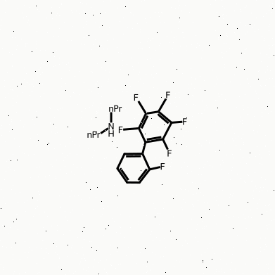 CCCNCCC.Fc1ccccc1-c1c(F)c(F)c(F)c(F)c1F